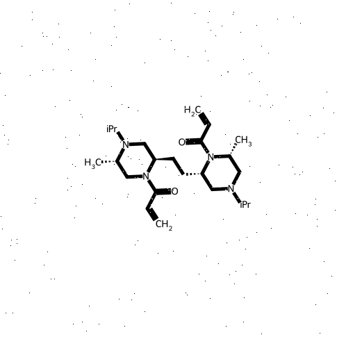 C=CC(=O)N1C[C@H](C)N(C(C)C)C[C@H]1CC[C@H]1CN(C(C)C)C[C@@H](C)N1C(=O)C=C